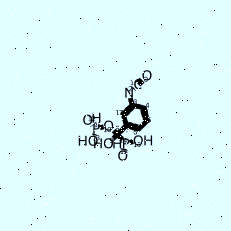 O=C=Nc1cccc(C(O)(O[PH](=O)O)[PH](=O)O)c1